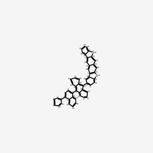 c1ccc(-c2ccc(-c3c4ccccc4c(-c4ccc5sc6cc7cc8sc9ccccc9c8cc7cc6c5c4)c4ccccc34)c3ccccc23)cc1